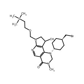 CC1CN(COCC[Si](C)(C)C)c2ncc3c(c21)N([C@H]1CC[C@H](CBr)CC1)CN(C)C3=O